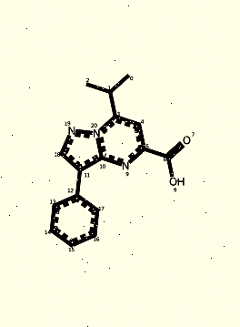 CC(C)c1cc(C(=O)O)nc2c(-c3ccccc3)cnn12